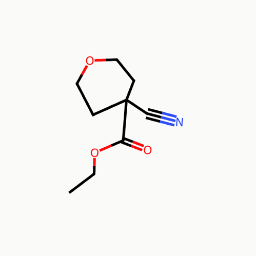 CCOC(=O)C1(C#N)CCOCC1